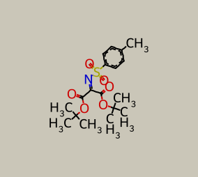 Cc1ccc(S(=O)(=O)N=C(C(=O)OC(C)(C)C)C(=O)OC(C)(C)C)cc1